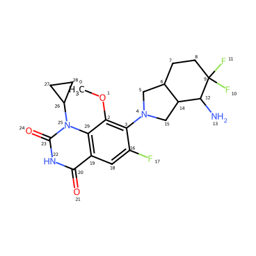 COc1c(N2CC3CCC(F)(F)C(N)C3C2)c(F)cc2c(=O)[nH]c(=O)n(C3CC3)c12